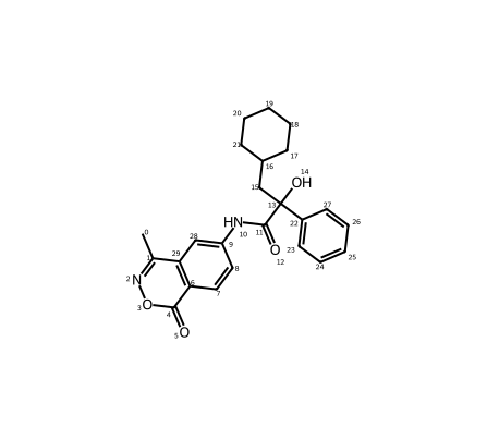 Cc1noc(=O)c2ccc(NC(=O)C(O)(CC3CCCCC3)c3ccccc3)cc12